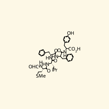 CSCC[C@H](NC=O)C(=O)N[C@@H](CC(C)C)C(=O)N[C@@H](Cc1ccccc1)C(=O)NC(Cc1ccccc1)C(=O)NC(Cc1ccc(O)cc1)C(=O)O